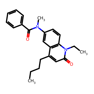 CCCCc1cc(=O)n(CC)c2ccc(N(C)C(=O)c3ccccc3)cc12